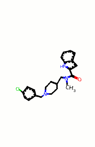 CN(CC1CCN(Cc2ccc(Cl)cc2)CC1)C(=O)c1cc2ccccc2[nH]1